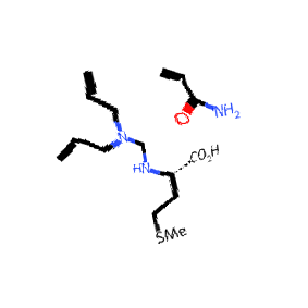 C=CC(N)=O.C=CCN(CC=C)CN[C@@H](CCSC)C(=O)O